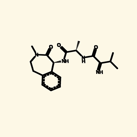 CC(C)C(=N)C(=O)N[C@@H](C)C(=O)N[C@H]1C(=O)N(C)CCc2ccccc21